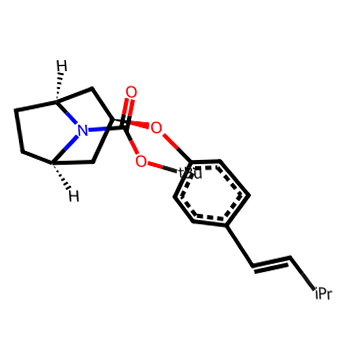 CC(C)/C=C/c1ccc(O[C@H]2C[C@H]3CC[C@@H](C2)N3C(=O)OC(C)(C)C)cc1